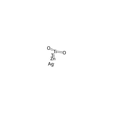 [Ag].[O]=[Ti]=[O].[Ti].[Zn]